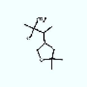 CCOC(=O)C(C)(C#N)C(C)C1COC(C)(C)O1